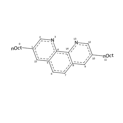 CCCCCCCCc1cnc2c(ccc3cc(CCCCCCCC)cnc32)c1